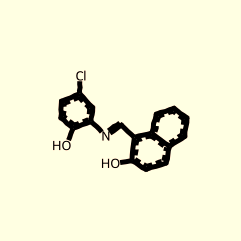 Oc1ccc(Cl)cc1/N=C/c1c(O)ccc2ccccc12